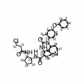 Cc1cc(Oc2ccccc2)ncc1N1C(=O)Nc2c(C(=O)N[C@@H]3CCC[C@@H]3NC(=O)CCCl)sc3nccc1c23